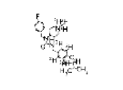 [2H]c1c([2H])c(OC([2H])([2H])C(C)C)c([2H])c([2H])c1CNC(=O)N(Cc1ccc(F)cc1)C1CCN(C([2H])([2H])[2H])CC1